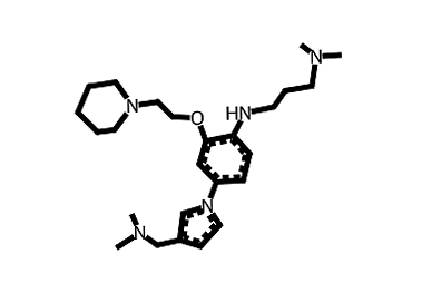 CN(C)CCCNc1ccc(-n2ccc(CN(C)C)c2)cc1OCCN1CCCCC1